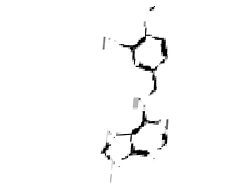 COc1ccc(CNc2ncnc3[nH]cnc23)cc1Br